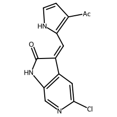 CC(=O)c1cc[nH]c1/C=C1\C(=O)Nc2cnc(Cl)cc21